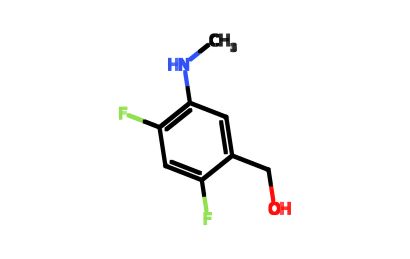 CNc1cc(CO)c(F)cc1F